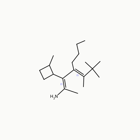 CCCCC(/C(=C(\C)N)C1CCC1C)=C(/C)C(C)(C)C